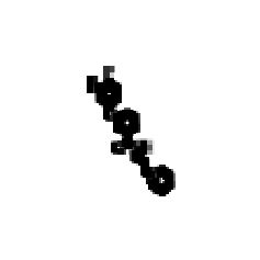 O=C(NCCCN1CCCCC1)c1cccc(Oc2ccc(F)c(F)c2)c1